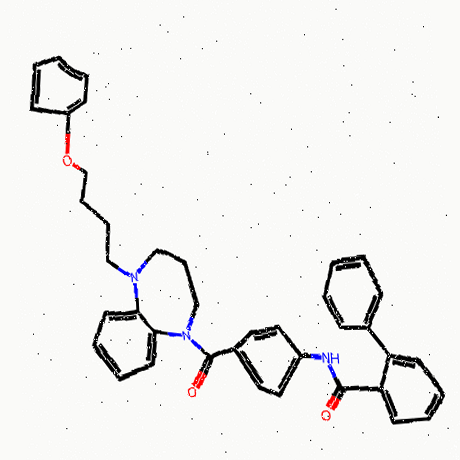 O=C(Nc1ccc(C(=O)N2CCCN(CCCCOc3ccccc3)c3ccccc32)cc1)c1ccccc1-c1ccccc1